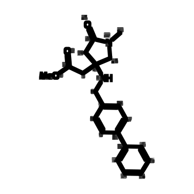 COC(=O)CC1(NCc2ccc(-c3ccccc3)cc2)CC(=O)N(C)C1